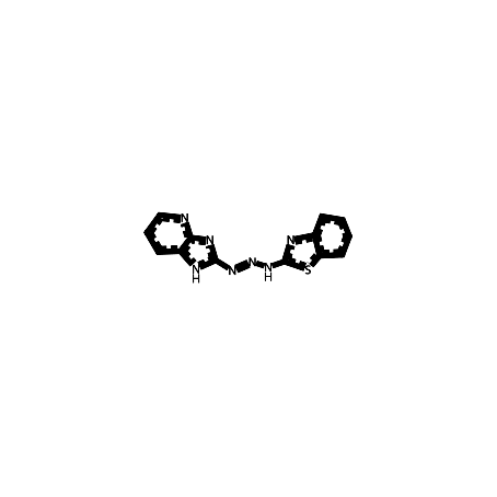 c1ccc2sc(NN=Nc3nc4ncccc4[nH]3)nc2c1